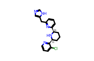 Clc1cccnc1[C@@H]1CCC[C@H](c2cccc(Cc3cnc[nH]3)n2)N1